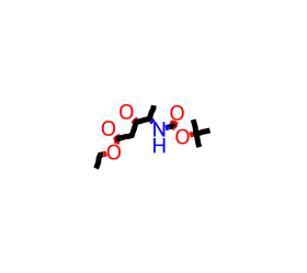 CCOC(=O)CC(=O)C(C)NC(=O)OC(C)(C)C